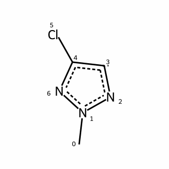 Cn1n[c]c(Cl)n1